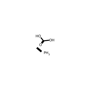 C=C.O=C(O)O.P